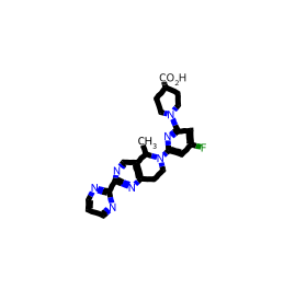 CC1c2cnc(-c3ncccn3)nc2CCN1c1cc(F)cc(N2CCC(C(=O)O)CC2)n1